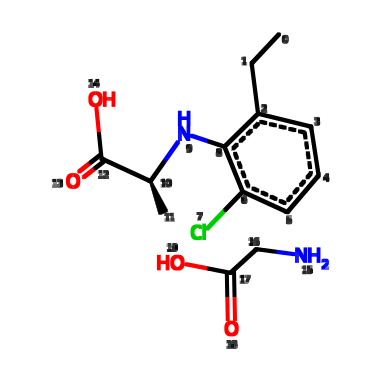 CCc1cccc(Cl)c1N[C@@H](C)C(=O)O.NCC(=O)O